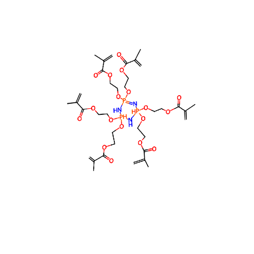 C=C(C)C(=O)OCCOP1(OCCOC(=O)C(=C)C)=N[PH](OCCOC(=O)C(=C)C)(OCCOC(=O)C(=C)C)N[PH](OCCOC(=O)C(=C)C)(OCCOC(=O)C(=C)C)N1